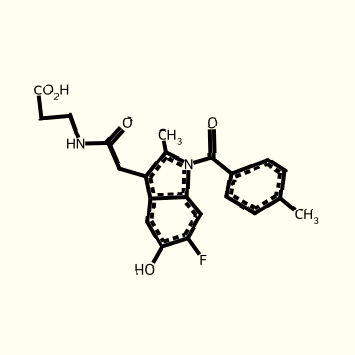 Cc1ccc(C(=O)n2c(C)c(CC(=O)NCCC(=O)O)c3cc(O)c(F)cc32)cc1